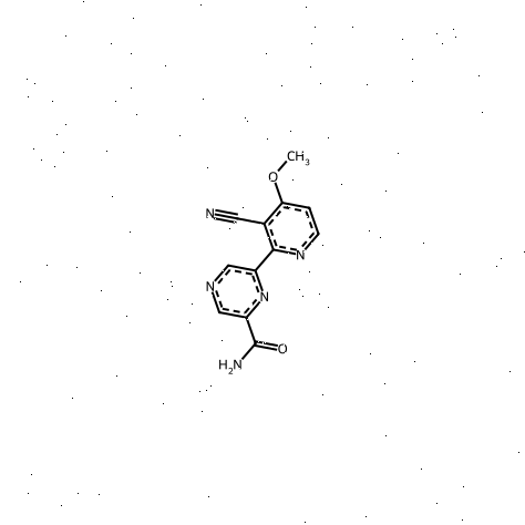 COc1ccnc(-c2cncc(C(N)=O)n2)c1C#N